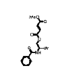 COC(=O)/C=C/C(=O)OC[C@H](NC(=O)c1ccccc1)C(C)C